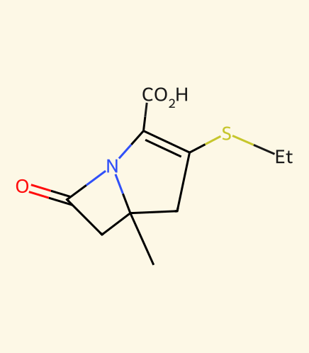 CCSC1=C(C(=O)O)N2C(=O)CC2(C)C1